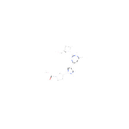 CC(C)(C)OC(=O)N1CCC(n2cc(-c3cc(C(F)(F)F)nc(N4CC[C@@H]4CO)n3)cn2)C1